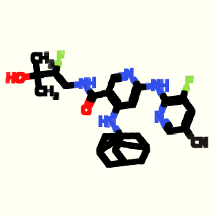 CC(C)(O)C(F)CNC(=O)c1cnc(Nc2ncc(C#N)cc2F)cc1NC12CC3CC(CC(C3)C1)C2